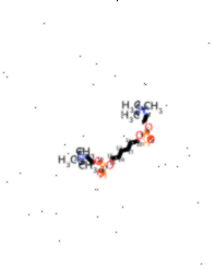 C[N+](C)(C)CCO[PH](=O)OCCCCCCO[PH](=O)OCC[N+](C)(C)C